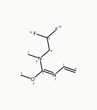 C=C/N=C(/OC)N(C)CC(F)F